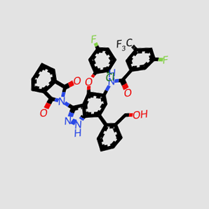 O=C(Nc1cc(-c2ccccc2CO)c2[nH]nc(N3C(=O)c4ccccc4C3=O)c2c1Oc1cc(F)ccc1Cl)c1cc(F)cc(C(F)(F)F)c1